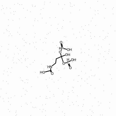 O=C(O)NCCC(O)(O[PH](=O)O)O[PH](=O)O